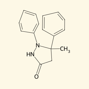 CC1(c2ccccc2)CC(=O)NN1c1ccccc1